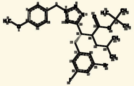 COc1ccc(Cn2nnc([C@@H](Cc3cc(F)cc(Br)c3)C(CC(C)C)C(=O)OC(C)(C)C)n2)cc1